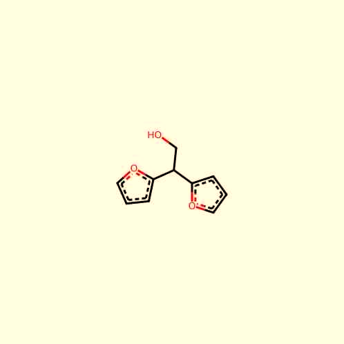 OCC(c1ccco1)c1ccco1